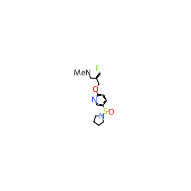 CNC/C(=C\F)COc1ccc([S+]([O-])N2CCCC2)cn1